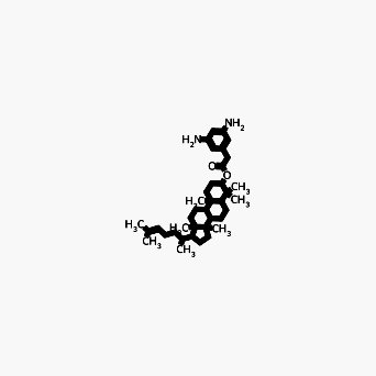 CC(C)=CCCC(C)C1CCC2(C)C3CCC4C(C)(C)C(OC(=O)Cc5cc(N)cc(N)c5)CCC4(C)C3CCC12C